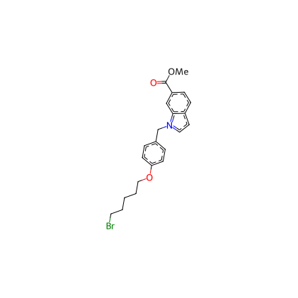 COC(=O)c1ccc2ccn(Cc3ccc(OCCCCCBr)cc3)c2c1